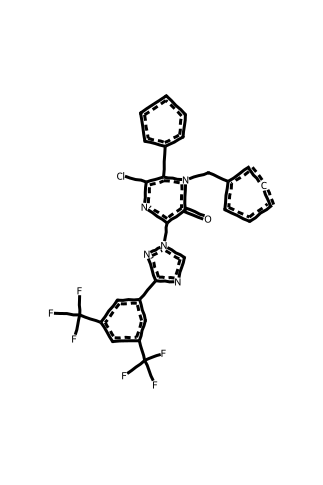 O=c1c(-n2cnc(-c3cc(C(F)(F)F)cc(C(F)(F)F)c3)n2)nc(Cl)c(-c2ccccc2)n1Cc1ccccc1